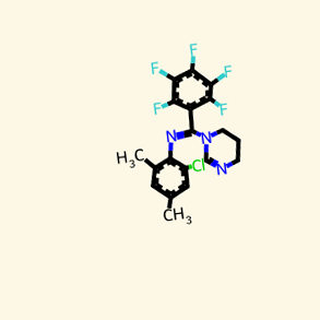 Cc1cc(C)c(N=C(c2c(F)c(F)c(F)c(F)c2F)N2C=NCCC2)c(Cl)c1